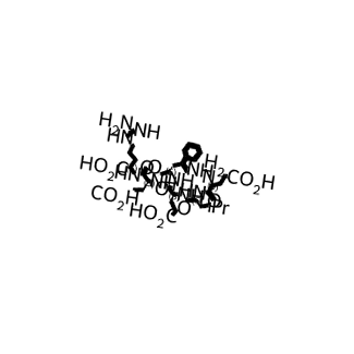 CC(C)C[C@H](NC(=O)[C@@H](N)CCC(=O)O)C(=O)N[C@@H](CCC(=O)O)C(=O)N[C@@H](Cc1c[nH]c2ccccc12)C(=O)N[C@@H](CCC(=O)O)C(=O)N[C@@H](CCCNC(=N)N)C(=O)O